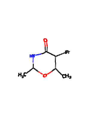 CC1NC(=O)C(C(C)C)C(C)O1